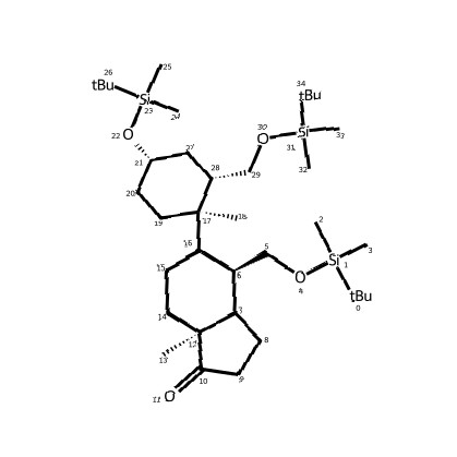 CC(C)(C)[Si](C)(C)OC[C@H]1C2CCC(=O)[C@@]2(C)CCC1[C@@]1(C)CC[C@H](O[Si](C)(C)C(C)(C)C)C[C@@H]1CO[Si](C)(C)C(C)(C)C